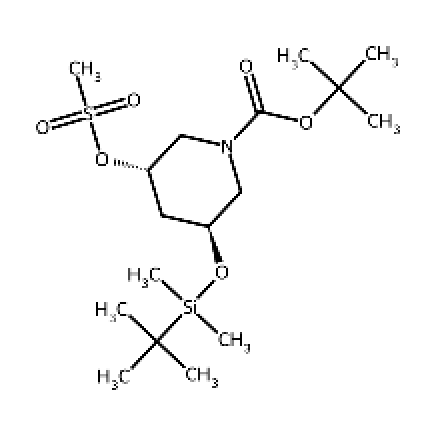 CC(C)(C)OC(=O)N1C[C@@H](O[Si](C)(C)C(C)(C)C)C[C@H](OS(C)(=O)=O)C1